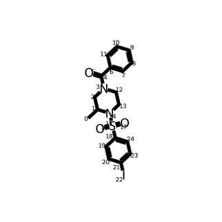 CC1CN(C(=O)c2ccccc2)CCN1S(=O)(=O)c1ccc(I)cc1